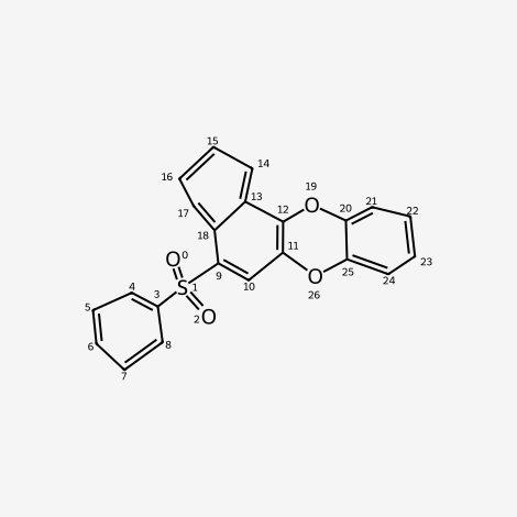 O=S(=O)(c1ccccc1)c1cc2c(c3ccccc13)Oc1ccccc1O2